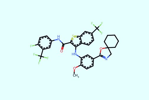 COc1ccc(C2=NCC3(CCCCC3)O2)cc1Nc1c(C(=O)Nc2ccc(F)c(C(F)(F)F)c2)sc2cc(C(F)(F)F)ccc12